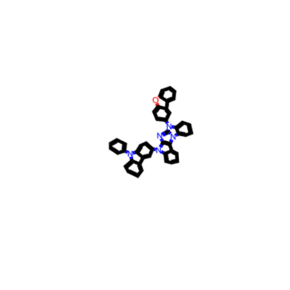 c1ccc(-n2c3ccccc3c3cc(-n4c5ccccc5c5c4nc4n(-c6ccc7oc8ccccc8c7c6)c6ccccc6n54)ccc32)cc1